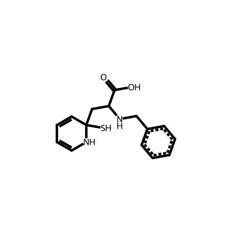 O=C(O)C(CC1(S)C=CC=CN1)NCc1ccccc1